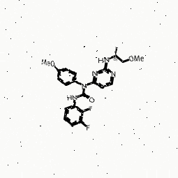 COC[C@H](C)Nc1nccc(N(C(=O)Nc2cccc(F)c2F)c2ccc(OC)cc2)n1